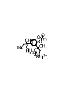 CC(C)(C)CC(C)(C)c1ccc(OP(=O)([O-])[O-])c(C(C)(C)CC(C)(C)C)c1.[Mg+2]